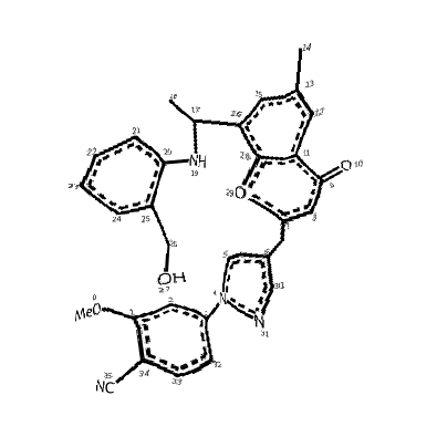 COc1cc(-n2cc(-c3cc(=O)c4cc(C)cc(C(C)Nc5ccccc5CO)c4o3)cn2)ccc1C#N